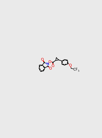 O=C(ON1C(=O)c2ccccc2C1=O)C1CC1c1ccc(OCC(F)(F)F)cc1